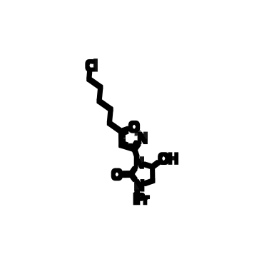 CC(C)N1CC(O)N(c2cc(CCCCCCl)on2)C1=O